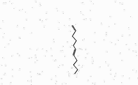 C=CCC[CH]C=CCCCC